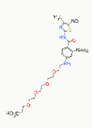 CC(=O)Nc1cc(NCCOCCOCCOCCOCCC(=O)O)ccc1C(=O)Nc1nc(C)c(N=O)s1